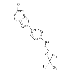 CC(OCCNc1ccc(-c2nc3cc(C#N)ccc3o2)cc1)(C(F)(F)F)C(F)(F)F